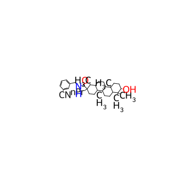 CCCC1(C(=O)NCc2cccc(C#N)c2)CCC2C(CCC3C2(C)CCC2C(C)(C)C(O)CCC23C)C1C